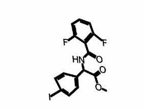 COC(=O)C(NC(=O)c1c(F)cccc1F)c1ccc(I)cc1